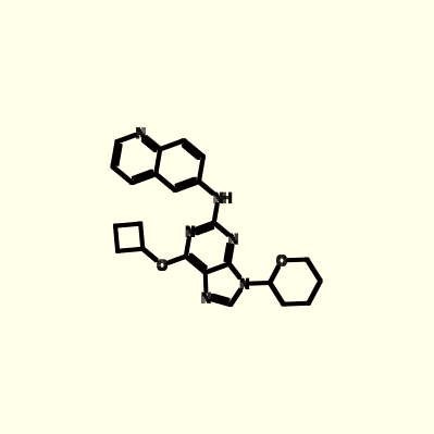 c1cnc2ccc(Nc3nc(OC4CCC4)c4ncn(C5CCCCO5)c4n3)cc2c1